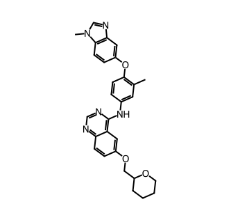 Cc1cc(Nc2ncnc3ccc(OCC4CCCCO4)cc23)ccc1Oc1ccc2c(c1)ncn2C